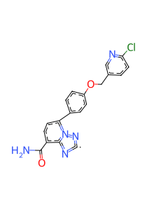 NC(=O)c1ccc(-c2ccc(OCc3ccc(Cl)nc3)cc2)n2n[c]nc12